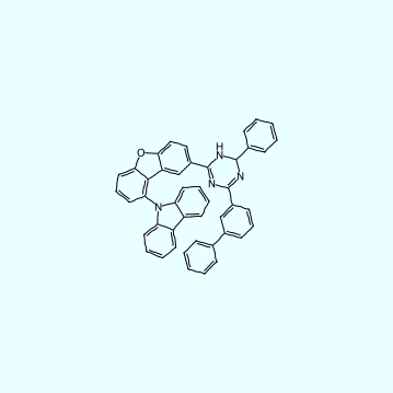 c1ccc(-c2cccc(C3=NC(c4ccccc4)NC(c4ccc5oc6cccc(-n7c8ccccc8c8ccccc87)c6c5c4)=N3)c2)cc1